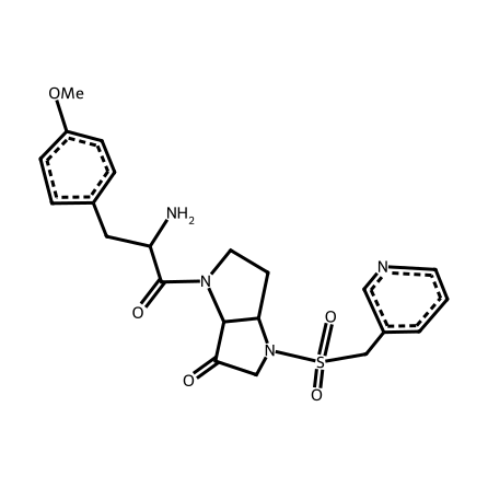 COc1ccc(CC(N)C(=O)N2CCC3C2C(=O)CN3S(=O)(=O)Cc2cccnc2)cc1